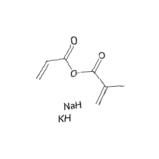 C=CC(=O)OC(=O)C(=C)C.[KH].[NaH]